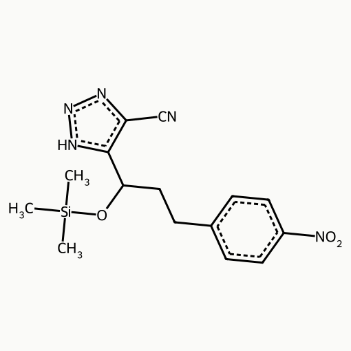 C[Si](C)(C)OC(CCc1ccc([N+](=O)[O-])cc1)c1[nH]nnc1C#N